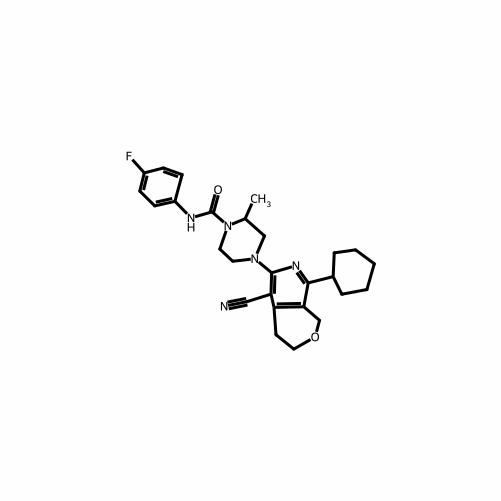 CC1CN(c2nc(C3CCCCC3)c3c(c2C#N)CCOC3)CCN1C(=O)Nc1ccc(F)cc1